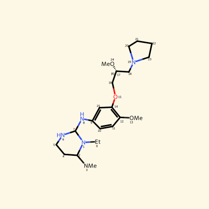 CCN1C(NC)CCNC1Nc1ccc(OC)c(OC[C@@H](CN2CCCC2)OC)c1